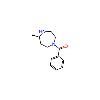 C[C@@H]1CCN(C(=O)c2ccccc2)CCN1